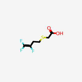 O=C(O)CSCCC(F)=C(F)F